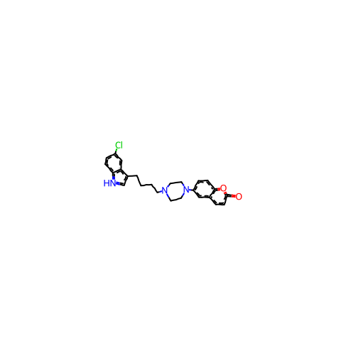 O=c1ccc2cc(N3CCN(CCCCc4c[nH]c5ccc(Cl)cc45)CC3)ccc2o1